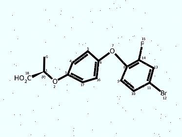 C[C@@H](Oc1ccc(Oc2ccc(Br)cc2F)cc1)C(=O)O